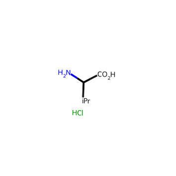 CC(C)C(N)C(=O)O.Cl